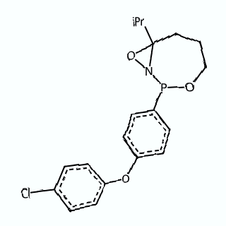 CC(C)C12CCCOP(c3ccc(Oc4ccc(Cl)cc4)cc3)N1O2